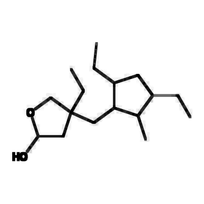 CCC1CC(CC)C(CC2(CC)COC(O)C2)C1C